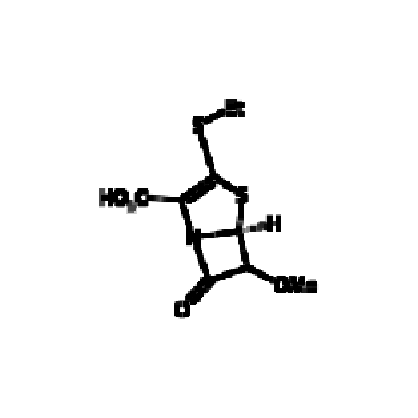 CCSC1=C(C(=O)O)N2C(=O)C(OC)[C@@H]2S1